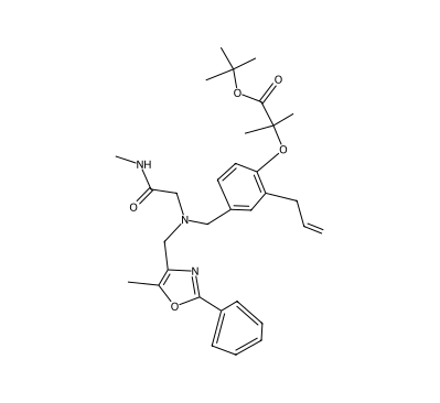 C=CCc1cc(CN(CC(=O)NC)Cc2nc(-c3ccccc3)oc2C)ccc1OC(C)(C)C(=O)OC(C)(C)C